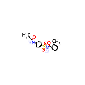 C=CC(=O)Nc1ccc(S(=O)(=O)NC(=O)c2ccccc2C)cc1